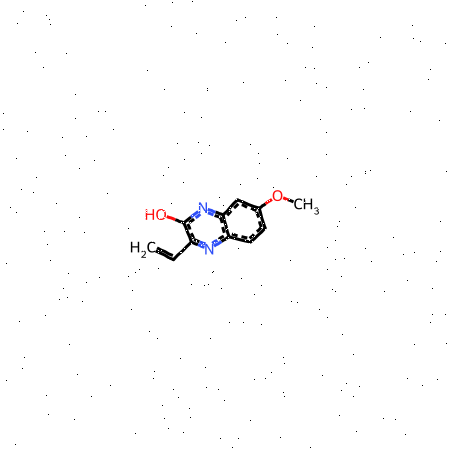 C=Cc1nc2ccc(OC)cc2nc1O